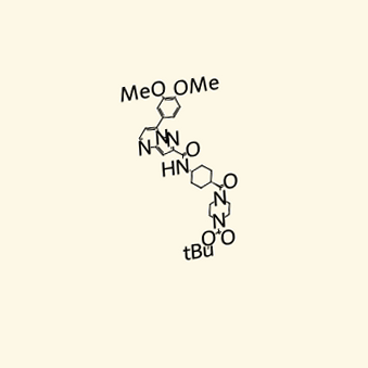 COc1ccc(-c2ccnc3cc(C(=O)N[C@H]4CC[C@H](C(=O)N5CCN(C(=O)OC(C)(C)C)CC5)CC4)nn23)cc1OC